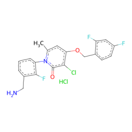 Cc1cc(OCc2ccc(F)cc2F)c(Cl)c(=O)n1-c1cccc(CN)c1F.Cl